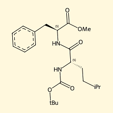 COC(=O)[C@H](Cc1ccccc1)NC(=O)[C@H](CCC(C)C)NC(=O)OC(C)(C)C